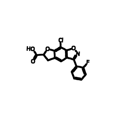 O=C(O)C1Cc2cc3c(-c4ccccc4F)noc3c(Cl)c2O1